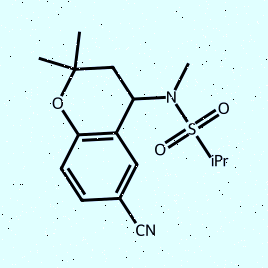 CC(C)S(=O)(=O)N(C)C1CC(C)(C)Oc2ccc(C#N)cc21